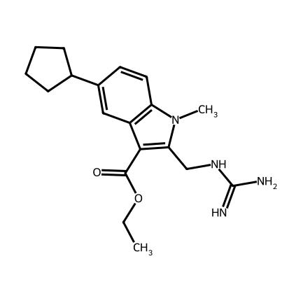 CCOC(=O)c1c(CNC(=N)N)n(C)c2ccc(C3CCCC3)cc12